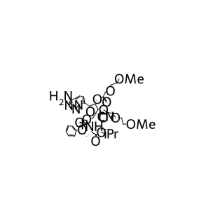 COCCOCC(=O)O[C@H]1[C@H](c2ccc3c(N)ncnn23)O[C@](C#N)(CO[P@@](=O)(N[C@@H](C)C(=O)OC(C)C)Oc2ccccc2)[C@H]1OC(=O)COCCOC